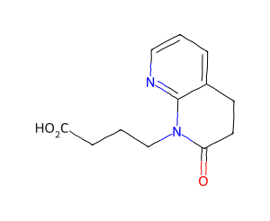 O=C(O)CCCN1C(=O)CCc2cccnc21